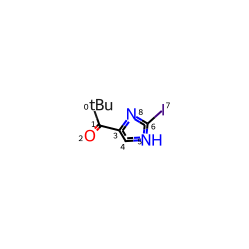 CC(C)(C)C(=O)c1c[nH]c(I)n1